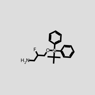 CC(C)(C)[Si](OCC(F)CN)(c1ccccc1)c1ccccc1